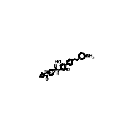 Cl.NC1CCCN(CCc2ccc(-n3ccc(NC(=O)N4CCN(C(=O)C5(N)CCC5)CC4)nc3=O)cc2)CC1